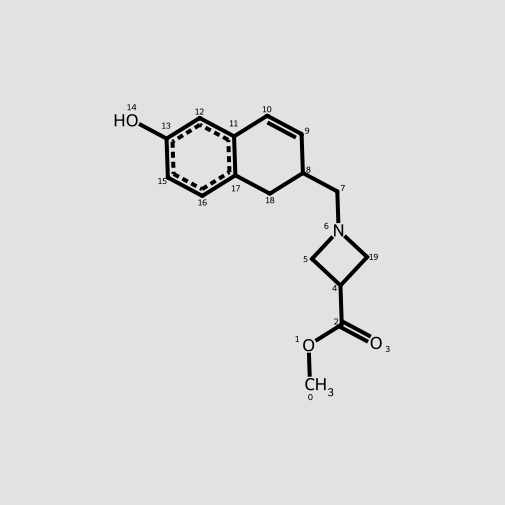 COC(=O)C1CN(CC2C=Cc3cc(O)ccc3C2)C1